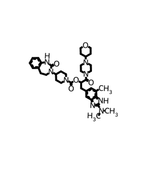 Cc1cc(CC(OC(=O)N2CCC(N3CCc4ccccc4NC3=O)CC2)C(=O)N2CCN(C3CCOCC3)CC2)cc2nc(N(C)C)[nH]c12